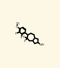 CCCC1CC2CCC(c3ccc(OCC)c(F)c3F)C(F)(F)CC2C1